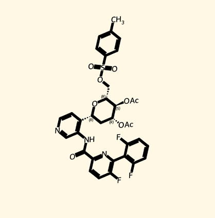 CC(=O)O[C@H]1[C@H](OC(C)=O)C[C@H](c2ccncc2NC(=O)c2ccc(F)c(-c3c(F)cccc3F)n2)O[C@@H]1COS(=O)(=O)c1ccc(C)cc1